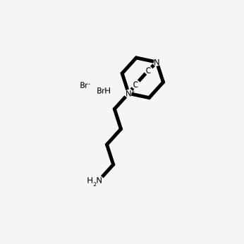 Br.NCCCC[N+]12CCN(CC1)CC2.[Br-]